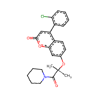 CC(C)(Oc1ccc2c(-c3ccccc3Cl)cc(=O)oc2c1)C(=O)N1CCCCC1